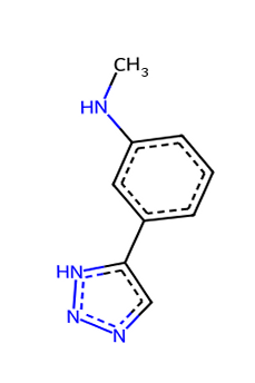 CNc1cccc(-c2cnn[nH]2)c1